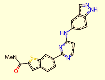 CNC(=O)c1cc2ccc(-c3nccc(Nc4ccc5[nH]ncc5c4)n3)cc2s1